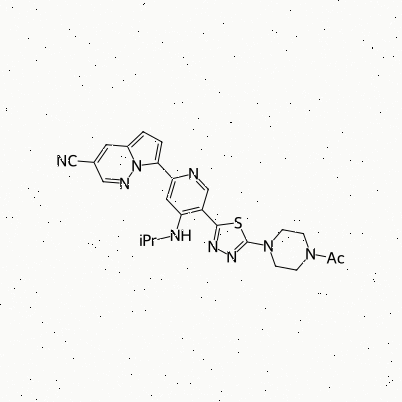 CC(=O)N1CCN(c2nnc(-c3cnc(-c4ccc5cc(C#N)cnn45)cc3NC(C)C)s2)CC1